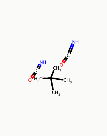 CC(C)(C)C.N=C=O.N=C=O